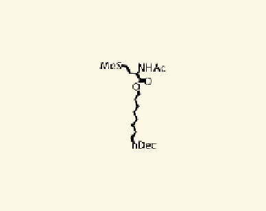 CCCCCCCCCCCCCCCCCCOC(=O)[C@H](CCSC)NC(C)=O